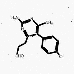 Nc1nc(N)c(-c2ccc(Cl)cc2)c(CCC=O)n1